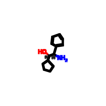 N[C@H](c1ccccc1)[C@@H](O)C1CCCC1